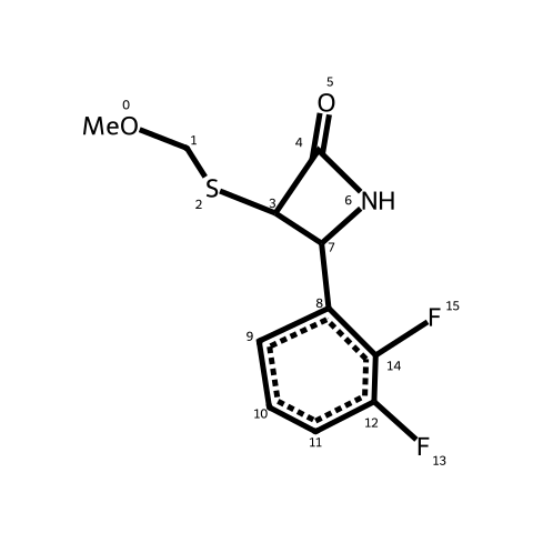 COCSC1C(=O)NC1c1cccc(F)c1F